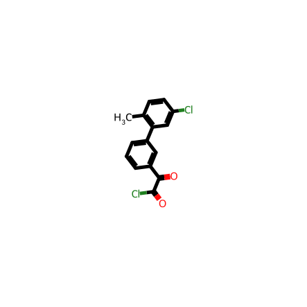 Cc1ccc(Cl)cc1-c1cccc(C(=O)C(=O)Cl)c1